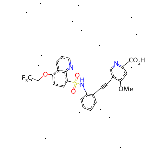 COc1cc(C(=O)O)ncc1C#Cc1ccccc1NS(=O)(=O)c1ccc(OCC(F)(F)F)c2cccnc12